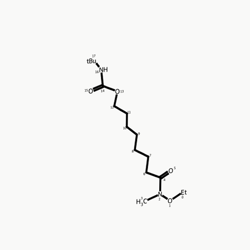 CCON(C)C(=O)CCCCCCCOC(=O)NC(C)(C)C